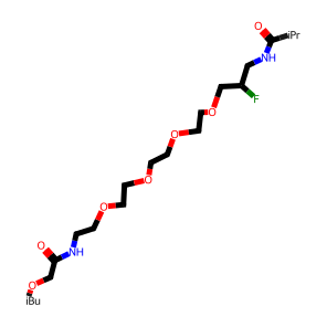 CCC(C)OCC(=O)NCCOCCOCCOCCOCC(F)CNC(=O)C(C)C